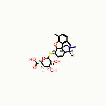 Cc1ccc2c3c1OC1[C@H](SC4O[C@H](C(=O)O)[C@@H](C)[C@H](O)[C@H]4O)C=CC4[C@@H](C2)N(C)CC[C@@]341